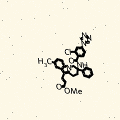 COC(=O)/C=C/c1c2n(c3ccc(C)cc13)CC(NC(=O)c1ccc(-n3cnnc3)cc1Cl)(c1ccccc1)CC2